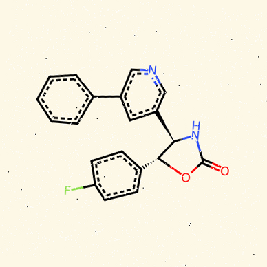 O=C1N[C@H](c2cncc(-c3ccccc3)c2)[C@@H](c2ccc(F)cc2)O1